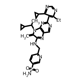 C=C1C(NCc2ccc(S(N)(=O)=O)cn2)=Nc2cnc(-c3c(CC)ncnc3C3CC3)nc2N1C(C)C1CC1